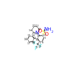 NS(=O)(=O)c1ccc(C(F)(F)F)c(-c2ccccc2)c1N1CCCCC1